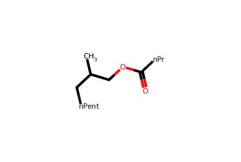 CCCCCCC(C)COC(=O)CCC